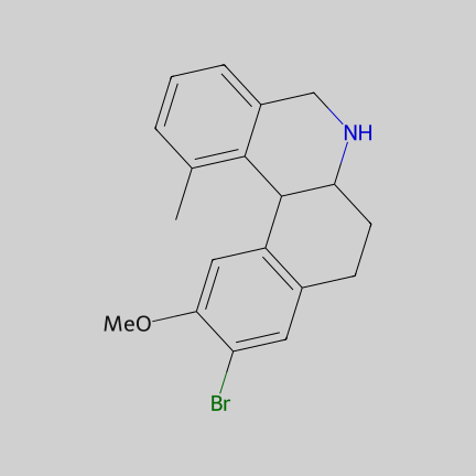 COc1cc2c(cc1Br)CCC1NCc3cccc(C)c3C21